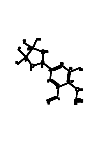 C=Cc1cc(B2OC(C)(C)C(C)(C)O2)cc(C)c1OCCCC